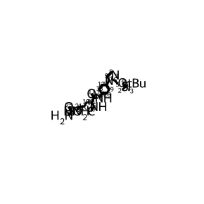 CC(C)(C)[Si](C)(C)OCc1nccn1-c1ccc(NC(=O)[C@H](CCCNC(N)=O)NC(=O)O)cc1